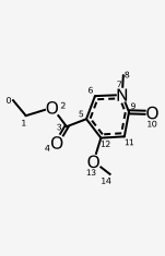 CCOC(=O)c1cn(C)c(=O)cc1OC